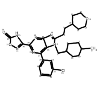 CC1CCC(Cn2c(CCC3CCOCC3)nc3nc(-c4noc(=O)[nH]4)nc(-c4cccc(Cl)c4)c32)CC1